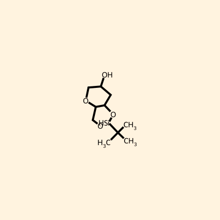 CC(C)(C)[SiH]1OCC2OCC(O)CC2O1